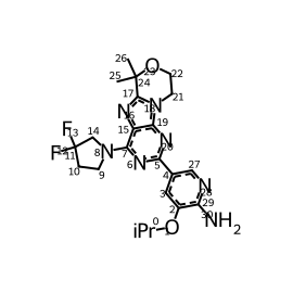 CC(C)Oc1cc(-c2nc(N3CCC(F)(F)C3)c3nc4n(c3n2)CCOC4(C)C)cnc1N